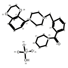 O=C(c1cccc(CN2CCN(c3cccc4c3OCCO4)CC2)c1)N1CCCCC1.[O-][Cl+3]([O-])([O-])O